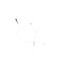 CC1(C)CC[C@@H](CI)C(=O)N1